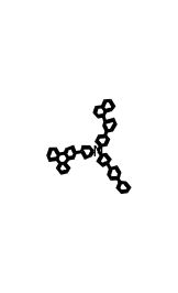 c1ccc(-c2ccc(-c3ccc(N(c4ccc(-c5cccc(-c6cccc7ccccc67)c5)cc4)c4ccc(-c5ccc6c7ccccc7c7ccccc7c6c5)cc4)cc3)cc2)cc1